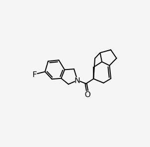 O=C(N1Cc2ccc(F)cc2C1)C12CC=C3CCC(C1)C3C2